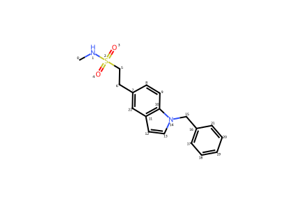 CNS(=O)(=O)CCc1ccc2c(ccn2Cc2ccccc2)c1